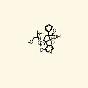 COCCN(C)C[C@H]1[C@@H](O)[C@@]2(O)c3c(OC)cncc3O[C@@H]2C1(C(=O)O)c1ccccc1